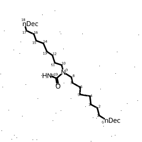 CCCCCCCCCCCCCCCCCCN(CCCCCCCCCCCCCCCCCC)C([NH])=O